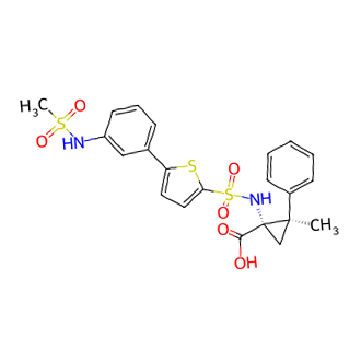 C[C@]1(c2ccccc2)C[C@@]1(NS(=O)(=O)c1ccc(-c2cccc(NS(C)(=O)=O)c2)s1)C(=O)O